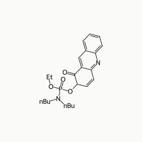 CCCCN(CCCC)P(=O)(OCC)OC1C=Cc2nc3ccccc3cc2C1=O